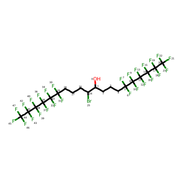 OC(CCCC(F)(F)C(F)(F)C(F)(F)C(F)(F)C(F)(F)C(F)(F)F)C(Br)CCCC(F)(F)C(F)(F)C(F)(F)C(F)(F)C(F)(F)C(F)(F)F